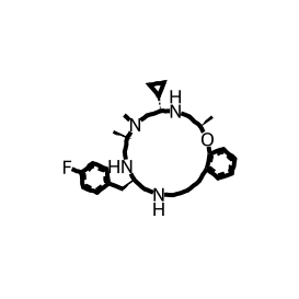 C[C@@H]1CN[C@@H](C2CC2)CN(C)[C@H](C)CN[C@H](Cc2ccc(F)cc2)CNCCCc2ccccc2O1